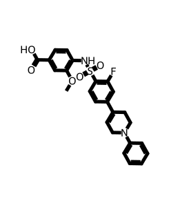 COc1cc(C(=O)O)ccc1NS(=O)(=O)c1ccc(C2=CCN(c3ccccc3)CC2)cc1F